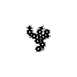 CC(C)(C)c1ccc(N2B3c4cc5c(cc4-n4c6ccc7oc8ccccc8c7c6c6ccc(c3c64)-c3cc4sc6ccc(C(C)(C)C)cc6c4cc32)C(C)(C)c2ccccc2-5)cc1